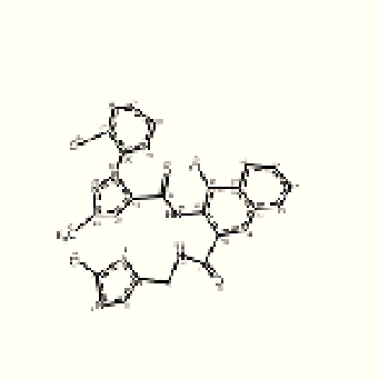 O=C(NCc1cnc(Cl)s1)c1cc2ccccc2c(Cl)c1NC(=O)c1cc(C(F)(F)F)nn1-c1ncccc1Cl